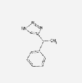 CC(c1ccccc1)c1c[nH]nn1